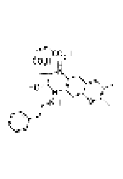 CC1=C(C)OC2=CC3=C(CC2=C1)NC(C)(C)[C@@H](O)N3NCCc1ccccc1.O=C(O)/C=C\C(=O)O